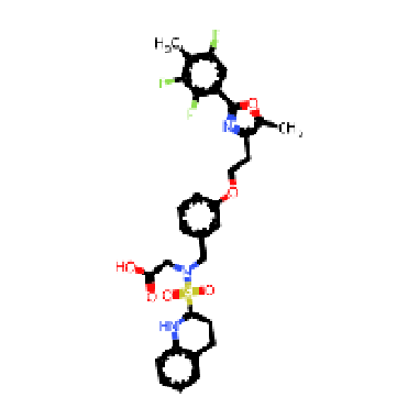 Cc1oc(-c2cc(F)c(C)c(F)c2F)nc1CCOc1cccc(CN(CC(=O)O)S(=O)(=O)C2CCc3ccccc3N2)c1